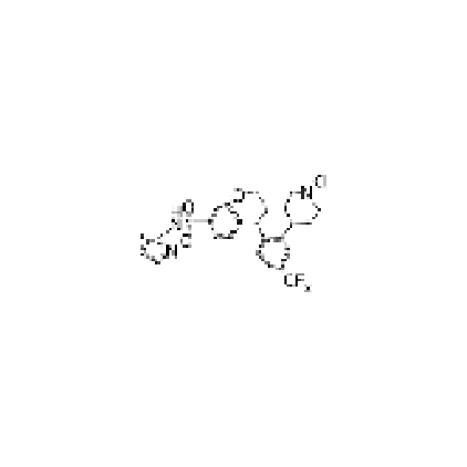 O=S(=O)(Nc1nccs1)c1ccc2c(c1)OCCC2c1ccc(C(F)(F)F)cc1C1=CCN(Cl)CC1